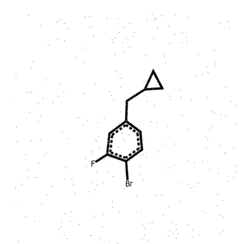 Fc1cc(CC2CC2)ccc1Br